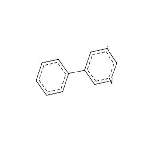 [c]1cncc(-c2ccccc2)c1